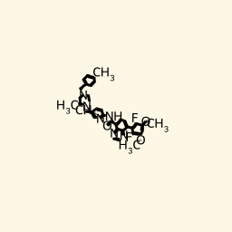 COc1cc(OC)c(F)c(-c2ccc(C(=O)Nc3ccc(CN4CCN(Cc5ccc(C)cc5)CC4(C)C)cn3)c3nccnc23)c1F